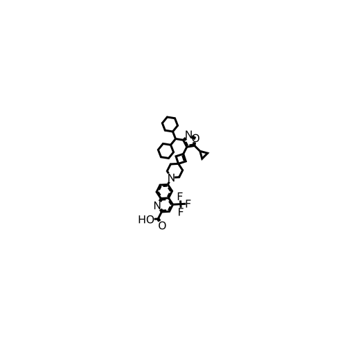 O=C(O)c1cc(C(F)(F)F)c2cc(N3CCC4(C=C(c5c(C(C6CCCCC6)C6CCCCC6)noc5C5CC5)C4)CC3)ccc2n1